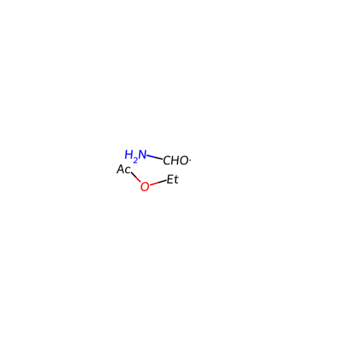 CCOC(C)=O.N[C]=O